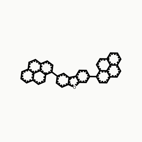 c1cc2ccc3ccc(-c4ccc5c(c4)oc4ccc(-c6ccc7ccc8cccc9ccc6c7c89)cc45)c4ccc(c1)c2c34